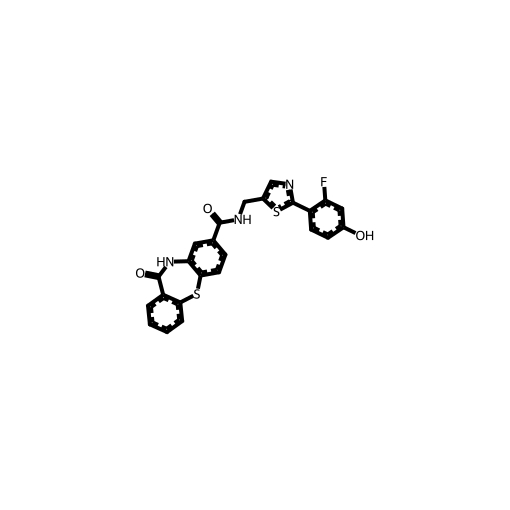 O=C(NCc1cnc(-c2ccc(O)cc2F)s1)c1ccc2c(c1)NC(=O)c1ccccc1S2